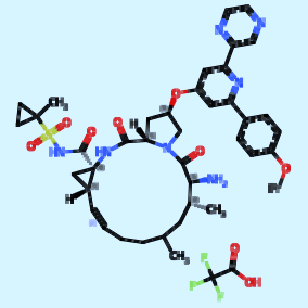 CC1CC/C=C\[C@@H]2C[C@@]2(C(=O)NS(=O)(=O)C2(C)CC2)NC(=O)[C@@H]2C[C@@H](Oc3cc(-c4ccc(OC(C)C)cc4)nc(-c4cnccn4)c3)CN2C(=O)[C@@H](N)[C@H](C)C1.O=C(O)C(F)(F)F